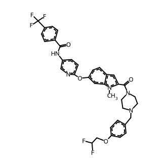 Cn1c(C(=O)N2CCN(Cc3ccc(OCC(F)F)cc3)CC2)cc2ccc(Oc3ccc(NC(=O)c4ccc(C(F)(F)F)cc4)cn3)cc21